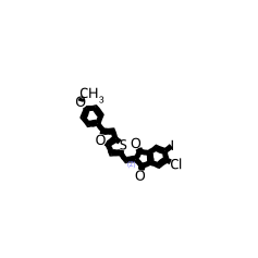 COc1ccc(-c2cc3sc(/C=C4/C(=O)c5cc(Cl)c(I)cc5C4=O)cc3o2)cc1